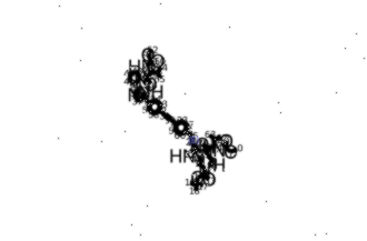 COC(=O)N[C@H](C(=O)N1CCN(C(=O)OC(C)(C)C)C[C@H]1C(=N)N/C=C/c1ccc(C#Cc2ccc(-c3cnc([C@@H]4CCCN4C(=O)[C@@H](NC(=O)OC)C(C)C)[nH]3)cc2)cc1)C(C)C